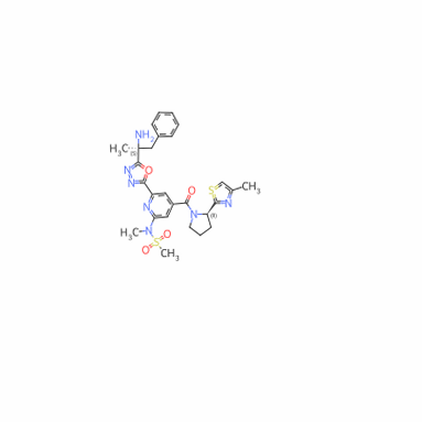 Cc1csc([C@H]2CCCN2C(=O)c2cc(-c3nnc([C@@](C)(N)Cc4ccccc4)o3)nc(N(C)S(C)(=O)=O)c2)n1